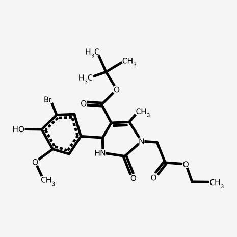 CCOC(=O)CN1C(=O)NC(c2cc(Br)c(O)c(OC)c2)C(C(=O)OC(C)(C)C)=C1C